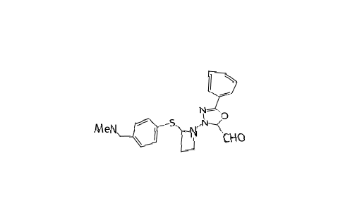 CNCc1ccc(SC2CCN2N2N=C(c3ccccc3)OC2C=O)cc1